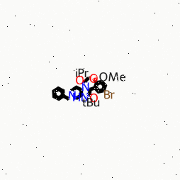 COc1cc(Br)cc2c1OC(C(C)C)C(=O)N(C1CCN(Cc3ccccc3)CC1)C2C(=O)NC(C)(C)C